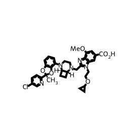 COc1cc(C(=O)O)cc2c1nc(CN1CCN(c3cccc4c3O[C@](C)(c3ccc(Cl)cn3)O4)[C@@H]3CC[C@H]31)n2CCOC1CC1